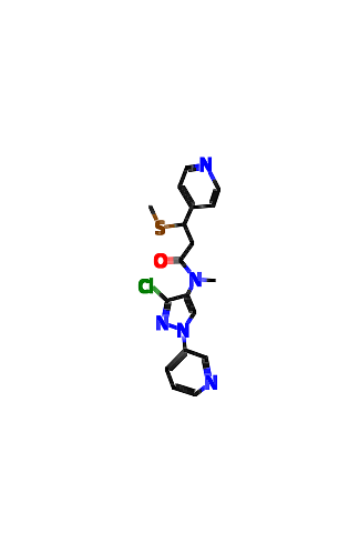 CSC(CC(=O)N(C)c1cn(-c2cccnc2)nc1Cl)c1ccncc1